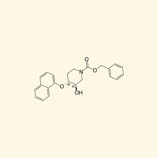 O=C(OCc1ccccc1)N1CC[C@@H](Oc2cccc3ccccc23)[C@H](O)C1